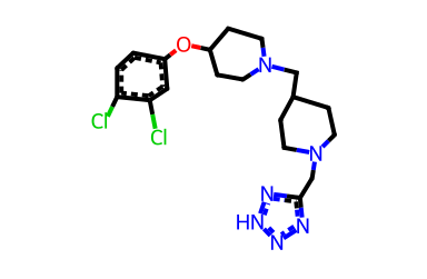 Clc1ccc(OC2CCN(CC3CCN(Cc4nn[nH]n4)CC3)CC2)cc1Cl